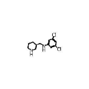 Clc1cc(Cl)cc(NCC2CCCNC2)c1